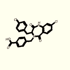 O=C(O)c1ccc(CN2C(=O)c3ccc(Cl)cc3NC(=O)C2Cc2ccc(Cl)cc2)cc1